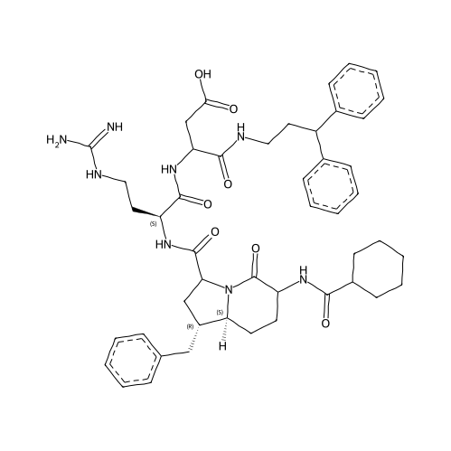 N=C(N)NCC[C@H](NC(=O)C1C[C@@H](Cc2ccccc2)[C@@H]2CCC(NC(=O)C3CCCCC3)C(=O)N12)C(=O)NC(CC(=O)O)C(=O)NCCC(c1ccccc1)c1ccccc1